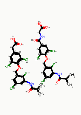 CC(C)C(=O)Nc1cc(Cl)cc(COc2c(Cl)cc(C(=O)NCC(=O)O)cc2Cl)c1F.CC(C)C(=O)Nc1cc(Cl)cc(COc2c(Cl)cc(CC(=O)O)cc2Cl)c1F